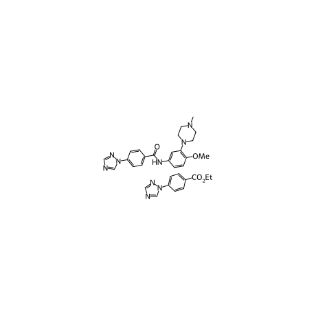 CCOC(=O)c1ccc(-n2cncn2)cc1.COc1ccc(NC(=O)c2ccc(-n3cncn3)cc2)cc1N1CCN(C)CC1